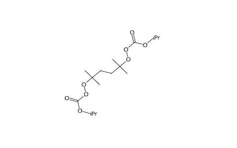 CC(C)OC(=O)OOC(C)(C)CCC(C)(C)OOC(=O)OC(C)C